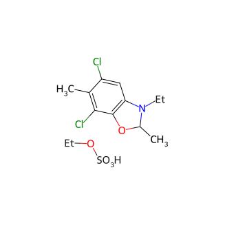 CCN1c2cc(Cl)c(C)c(Cl)c2OC1C.CCOS(=O)(=O)O